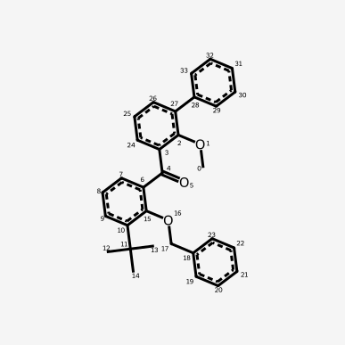 COc1c(C(=O)c2cccc(C(C)(C)C)c2OCc2ccccc2)cccc1-c1ccccc1